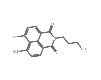 NCCCN1C(=O)c2ccc(Br)c3c([N+](=O)[O-])ccc(c23)C1=O